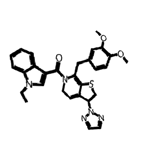 CCn1cc(C(=O)N2CC=C3C(=C2Cc2ccc(OC)c(OC)c2)SCC3n2nccn2)c2ccccc21